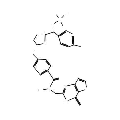 CN(Cc1nc2ccsc2c(=O)[nH]1)C(=O)c1ccc(C[C@@H]2CC[C@H]([C@H](O[Si](C)(C)C(C)(C)C)c3ccc(Cl)nc3)N2)cc1